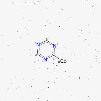 [Cd][c]1ncncn1